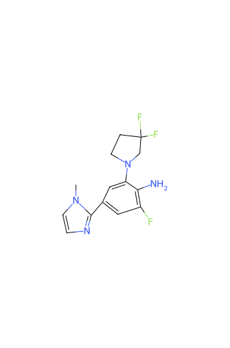 Cn1ccnc1-c1cc(F)c(N)c(N2CCC(F)(F)C2)c1